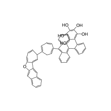 Oc1c(O)c(O)c(-c2ccccc2-c2c3ccccc3c(C3=CCC(C4C=CC=c5oc6cc7ccccc7cc6c5=C4)=CC=C3)c3ccccc23)c(O)c1O